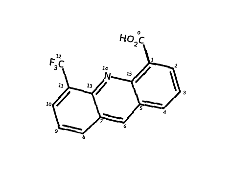 O=C(O)c1cccc2cc3cccc(C(F)(F)F)c3nc12